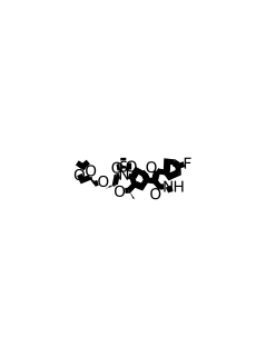 CNC(=O)c1c(-c2ccc(F)cc2)oc2cc3c(cc12)[C@H](C)O[C@H](COC[C@H]1COC(C)(C)O1)CN3S(C)(=O)=O